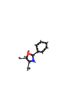 C[CH]c1nc(-c2ccccc2)oc1C